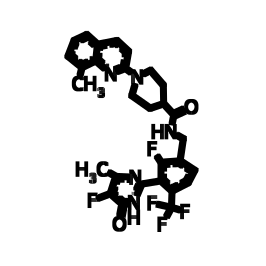 Cc1nc(-c2c(C(F)(F)F)ccc(CNC(=O)C3CCN(c4ccc5cccc(C)c5n4)CC3)c2F)[nH]c(=O)c1F